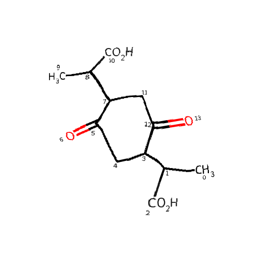 CC(C(=O)O)C1CC(=O)C(C(C)C(=O)O)CC1=O